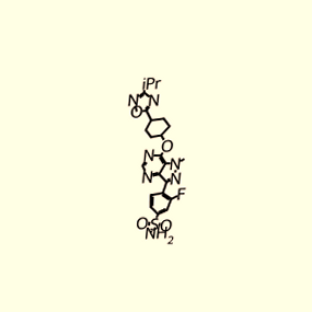 CC(C)c1noc(C2CCC(Oc3ncnc4c(-c5ccc(S(N)(=O)=O)cc5F)nn(C)c34)CC2)n1